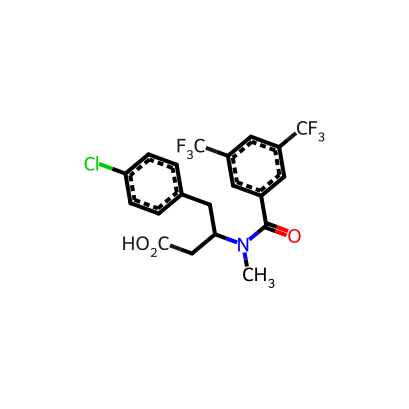 CN(C(=O)c1cc(C(F)(F)F)cc(C(F)(F)F)c1)C(CC(=O)O)Cc1ccc(Cl)cc1